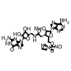 CO[C@@H]1[C@H](CC(=O)NC[C@H]2O[C@@H](n3cnc4c(=O)[nH]c(N)nc43)[C@H](O)[C@@H]2O)C(COP(=O)(N=O)n2ccnc2)O[C@H]1n1cnc2c(N)ncnc21